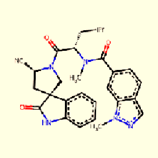 CC(C)C[C@@H](C(=O)N1C[C@]2(C[C@H]1C#N)C(=O)Nc1ccccc12)N(C)C(=O)c1ccc2cnn(C)c2c1